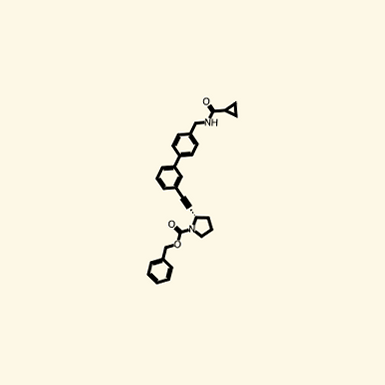 O=C(NCc1ccc(-c2cccc(C#C[C@@H]3CCCN3C(=O)OCc3ccccc3)c2)cc1)C1CC1